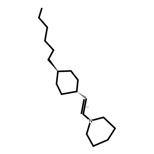 CCCCCC[C@H]1CC[C@H](/C=C/N2CCCCC2)CC1